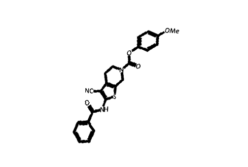 COc1ccc(OC(=O)N2CCc3c(sc(NC(=O)c4ccccc4)c3C#N)C2)cc1